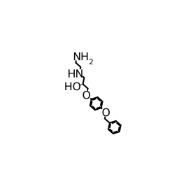 NCCNC[C@@H](O)COc1ccc(OCc2ccccc2)cc1